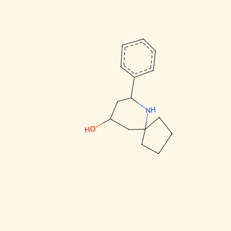 OC1CC(c2ccccc2)NC2(CCCC2)C1